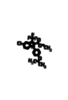 CCOC(=O)c1c(C(F)(F)F)c2cc(Cl)ccc2n1-c1ccc(OC(C)C)cc1